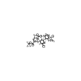 CNC(=O)c1cc(-c2cc(C3CN(C(=O)OC(C)(C)C)CC4COC(=O)N43)cc(Cl)n2)ncn1